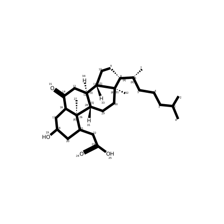 CC(C)CCC[C@@H](C)[C@H]1CC[C@H]2[C@@H]3CC(=O)C4CC(O)CC(CC(=O)O)[C@]4(C)[C@H]3CC[C@]12C